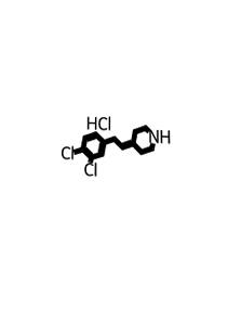 Cl.Clc1ccc(CC=C2CCNCC2)cc1Cl